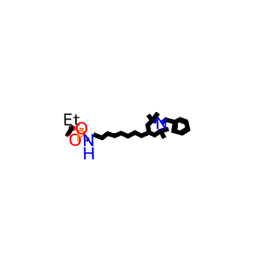 CCC1COP(NCCCCCCCCC2CC(C)(C)N(Cc3ccccc3)C(C)(C)C2)O1